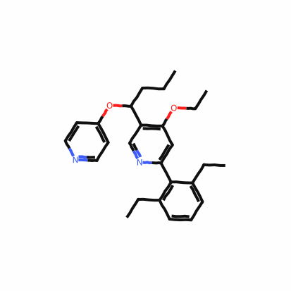 CCCC(Oc1ccncc1)c1cnc(-c2c(CC)cccc2CC)cc1OCC